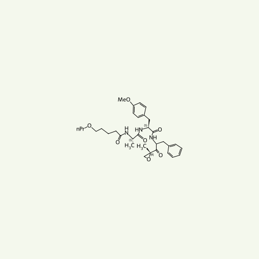 CCCOCCCCC(=O)N[C@@H](C)C(=O)N[C@@H](Cc1ccc(OC)cc1)C(=O)NC(Cc1ccccc1)C(=O)[C@@]1(C)CO1